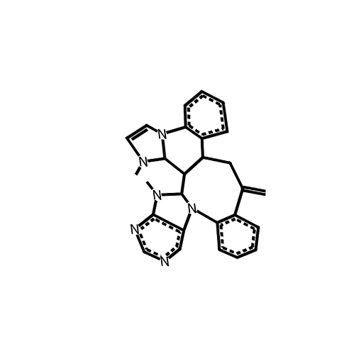 C=C1CC2c3ccccc3N3C=CN(C)C3C2C2N(C)c3ncncc3N2c2ccccc21